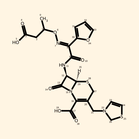 CC(CC(=O)O)ON=C(C(=O)N[C@@H]1C(=O)N2C(C(=O)O)=C(CN3C=CSC3)CS[C@H]12)c1ccco1